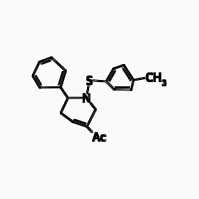 CC(=O)C1=CCC(c2ccccc2)N(Sc2ccc(C)cc2)C1